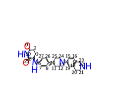 O=C1CCC(Nc2ccc(C3CCN(c4ccc5c(c4)CCNC5)CC3)cc2)C(=O)N1